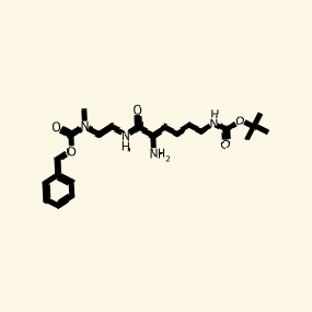 CN(CCNC(=O)C(N)CCCCNC(=O)OC(C)(C)C)C(=O)OCc1ccccc1